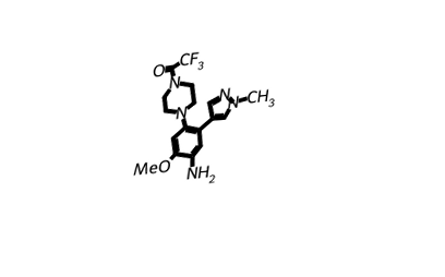 COc1cc(N2CCN(C(=O)C(F)(F)F)CC2)c(-c2cnn(C)c2)cc1N